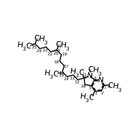 Cc1cc(C)c2c(n1)N(C)C(C)(CCC[C@H](C)CCC[C@H](C)CCCC(C)C)C2